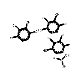 OP(O)O.Oc1c(Cl)ccc(S)c1Cl.Oc1c(Cl)ccc(S)c1Cl.Oc1c(Cl)ccc(S)c1Cl